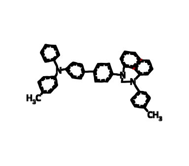 Cc1ccc(N(CN(c2ccccc2)c2ccc(-c3ccc(N(c4ccccc4)c4ccc(C)cc4)cc3)cc2)c2ccccc2)cc1